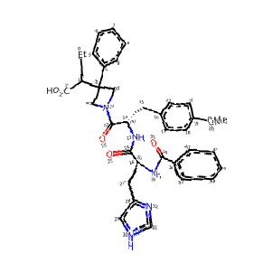 CCC(C(=O)O)C1(c2ccccc2)CN(C(=O)[C@H](Cc2ccc(OC)cc2)NC(=O)[C@H](Cc2c[nH]cn2)NC(=O)c2ccccc2)C1